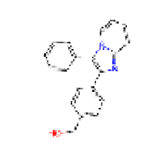 OCc1ccc(-c2nc3ccccn3c2-c2ccccc2)cc1